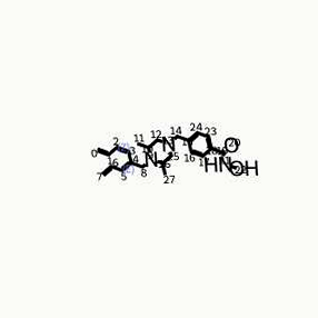 C=C/C=C\C(=C/C=C)CN1C(C)CN(Cc2ccc(C(=O)NO)cc2)CC1C